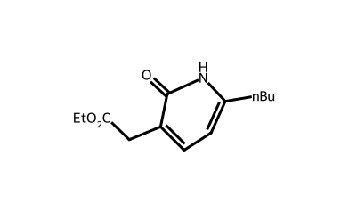 CCCCc1ccc(CC(=O)OCC)c(=O)[nH]1